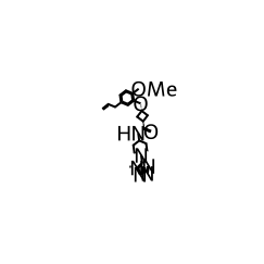 C=CCc1ccc(OC)c(O[C@H]2C[C@H](C(=O)NC3CCN(c4nnnn4C)CC3)C2)c1